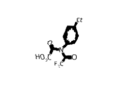 CCc1ccc(N(C(=O)C(=O)O)C(=O)C(F)(F)F)cc1